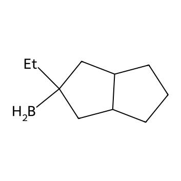 BC1(CC)CC2CCCC2C1